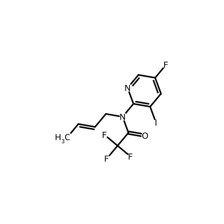 C/C=C/CN(C(=O)C(F)(F)F)c1ncc(F)cc1I